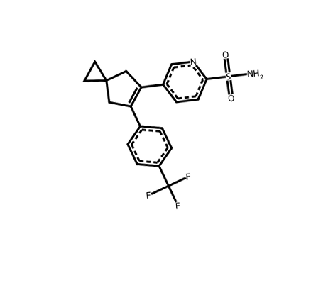 NS(=O)(=O)c1ccc(C2=C(c3ccc(C(F)(F)F)cc3)CC3(CC3)C2)cn1